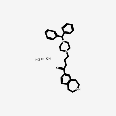 Cl.Cl.Cl.O=C(CCCN1CCN(C(c2ccccc2)c2ccccc2)CC1)c1ccc2c(c1)CCNCC2